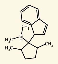 CC1CCC(C)C1(C1C=Cc2ccccc21)[SiH](C)C